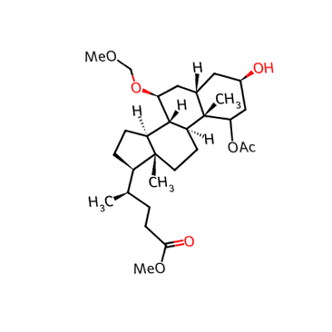 COCO[C@H]1C[C@@H]2C[C@@H](O)CC(OC(C)=O)[C@]2(C)[C@H]2CC[C@]3(C)[C@@H]([C@H](C)CCC(=O)OC)CC[C@H]3[C@H]12